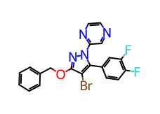 Fc1ccc(-c2c(Br)c(OCc3ccccc3)nn2-c2cnccn2)cc1F